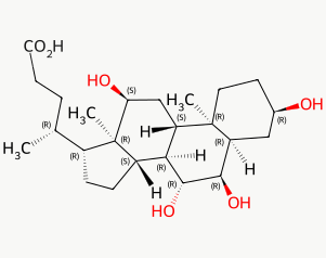 C[C@H](CCC(=O)O)[C@H]1CC[C@H]2[C@@H]3[C@@H](O)[C@H](O)[C@@H]4C[C@H](O)CC[C@]4(C)[C@H]3C[C@H](O)[C@]12C